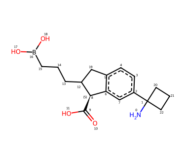 NC1(c2ccc3c(c2)[C@@H](C(=O)O)C(CCCB(O)O)C3)CCC1